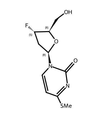 CSc1ccn([C@H]2C[C@H](F)[C@@H](CO)O2)c(=O)n1